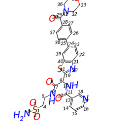 NS(=O)(=O)CCNC(=O)C(NC(=O)c1cccnc1)c1nc2ccc(-c3ccc(C(=O)N4CCOCC4)cc3)cc2s1